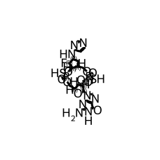 Nc1nc2c(ncn2[C@@H]2O[C@@H]3CO[P@](=O)(S)O[C@@H]4[C@@H](CO[P@@](=O)(S)O[C@@H]2[C@@H]3O)C[C@@H](Nc2ccncn2)[C@H]4F)c(=O)[nH]1